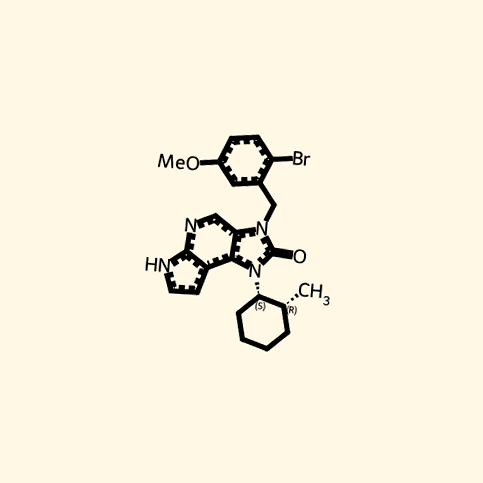 COc1ccc(Br)c(Cn2c(=O)n([C@H]3CCCC[C@H]3C)c3c4cc[nH]c4ncc32)c1